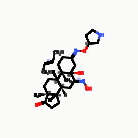 C[C@]12CC[C@H]3[C@@H](C/C(=N\O)[C@@]4(O)CC(=NO[C@H]5CCNC5)CC[C@]34C)[C@@H]1CCC2=O.O=C(O)/C=C/C(=O)O